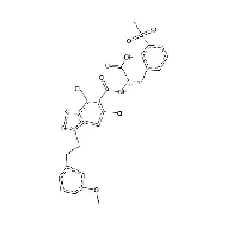 COc1cccc(CCc2nsc3c(Cl)c(C(=O)N[C@@H](Cc4cccc(S(C)(=O)=O)c4)C(=O)O)c(Cl)cc23)c1